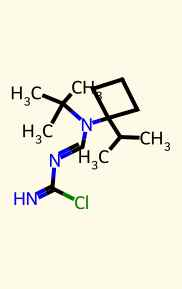 CC(C)C1(N(/C=N/C(=N)Cl)C(C)(C)C)CCC1